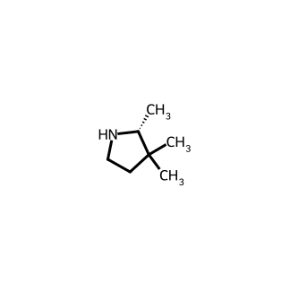 C[C@H]1NCCC1(C)C